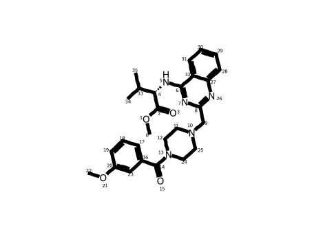 COC(=O)[C@@H](Nc1nc(CN2CCN(C(=O)c3cccc(OC)c3)CC2)nc2ccccc12)C(C)C